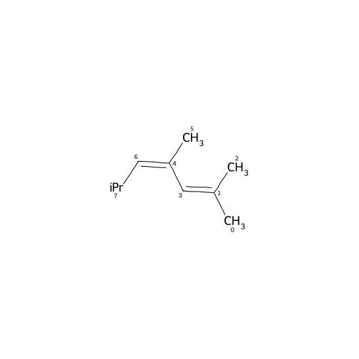 CC(C)=CC(C)=CC(C)C